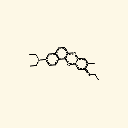 CC/N=c1/cc2oc3c(ccc4cc(N(CC)CC)ccc43)nc-2cc1F